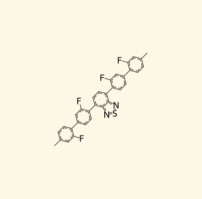 Cc1ccc(-c2ccc(-c3ccc(-c4ccc(-c5ccc(C)cc5F)cc4F)c4nsnc34)c(F)c2)c(F)c1